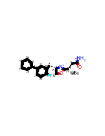 CC[C@H](C)[C@H](CC(N)=O)C1=N[C@@H](Cc2cc(-c3ccccc3)ccc2F)CO1